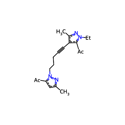 CCn1nc(C)c(C#CCCCn2nc(C)cc2C(C)=O)c1C(C)=O